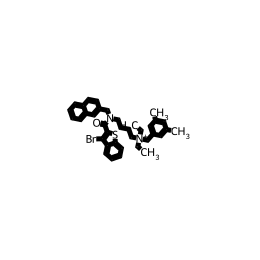 CC[N+](CC)(CCCCN(Cc1ccc2ccccc2c1)C(=O)c1sc2ccccc2c1Br)Cc1cc(C)cc(C)c1